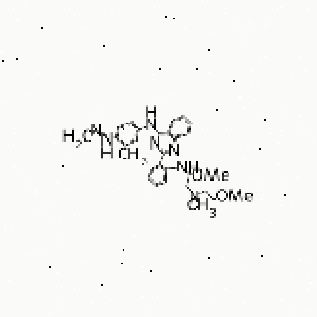 C=NNc1ccc(Nc2nc(-c3ccccc3NC(CN(C)CCOC)OC)nc3ccccc23)cc1C